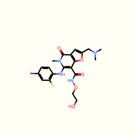 CN(C)Cc1cc2c(=O)n(C)c(Nc3ccc(I)cc3F)c(C(=O)NOCCO)c2o1